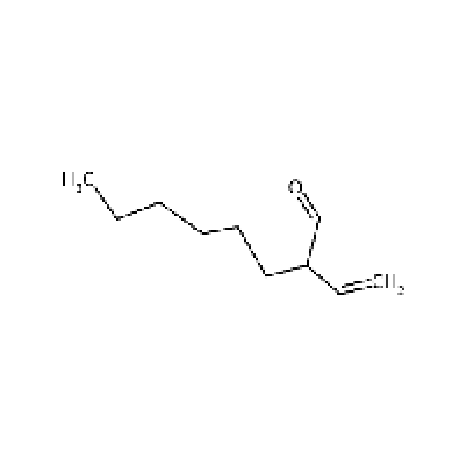 C=CC(C=O)CCCCCC